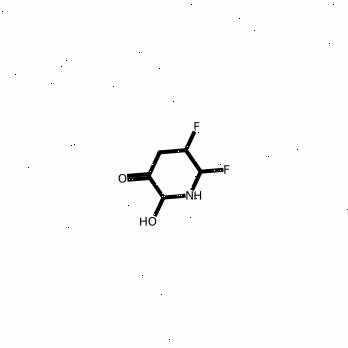 O=C1CC(F)C(F)NC1O